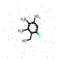 Bc1c([N+](=O)[O-])cc(F)c(CC#N)c1B